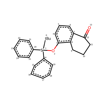 CC(C)(C)[Si](Oc1cccc2c1CCCC2=O)(c1ccccc1)c1ccccc1